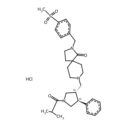 CC(C)C(=O)N1C[C@H](CN2CCC3(CC2)CCN(Cc2ccc(S(C)(=O)=O)cc2)C3=O)[C@@H](c2ccccc2)C1.Cl